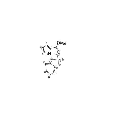 COC(=O)c1cncn1[C@H]1c2ccccc2CC1(C)C